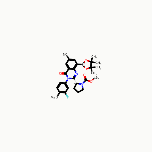 COc1ccc(-n2c([C@H]3CCCN3C(=O)OC(C)(C)C)nc3c(B4OC(C)(C)C(C)(C)O4)cc(C#N)cc3c2=O)cc1F